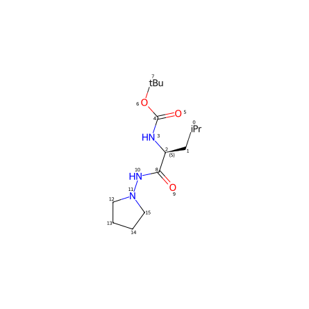 CC(C)C[C@H](NC(=O)OC(C)(C)C)C(=O)NN1CCCC1